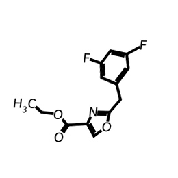 CCOC(=O)c1coc(Cc2cc(F)cc(F)c2)n1